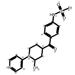 CCS(=O)(=O)Nc1ccc(C(=O)C2CCN(c3ccncc3)C(C)C2)cc1